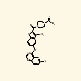 CC(=O)N1CCN(C(=O)c2oc3ccc(Nc4ncnc5ccc(Cl)nc45)cc3c2C)CC1